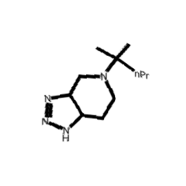 CCCC(C)(C)N1CCC2NN=NC2C1